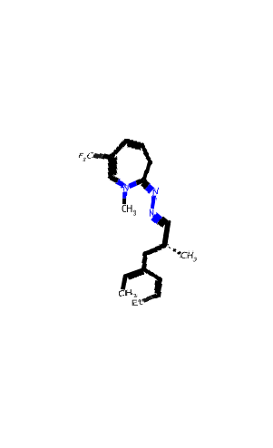 C/C=C(\C=C/CC)C[C@@H](C)/C=N/N=C1/CC=CC(C(F)(F)F)=CN1C